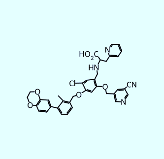 Cc1c(COc2cc(OCc3cncc(C#N)c3)c(CNC(Cc3ccccn3)C(=O)O)cc2Cl)cccc1-c1ccc2c(c1)OCCO2